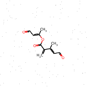 C=C(C(=O)OC(C)=CC=O)C(C)=CC=O